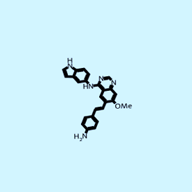 COc1cc2ncnc(Nc3ccc4[nH]ccc4c3)c2cc1C=Cc1ccc(N)cc1